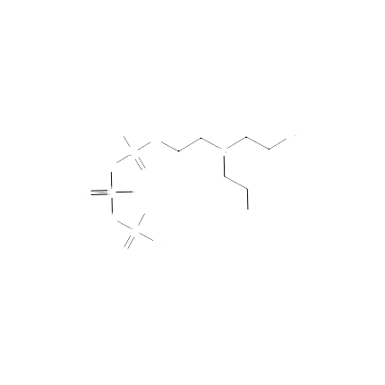 O=P(O)(O)OP(=O)(O)OP(=O)(O)OCCN(CCO)CCO